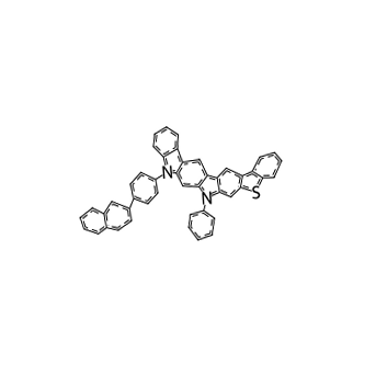 c1ccc(-n2c3cc4sc5ccccc5c4cc3c3cc4c5ccccc5n(-c5ccc(-c6ccc7ccccc7c6)cc5)c4cc32)cc1